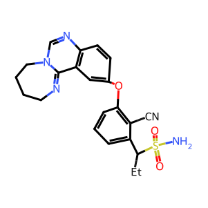 CCC(c1cccc(Oc2ccc3c(c2)C2=NCCCCN2C=N3)c1C#N)S(N)(=O)=O